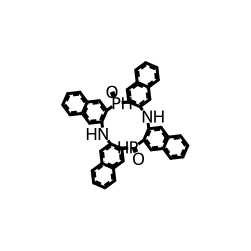 O=[PH]1c2cc3ccccc3cc2Nc2cc3ccccc3cc2[PH](=O)c2cc3ccccc3cc2Nc2cc3ccccc3cc21